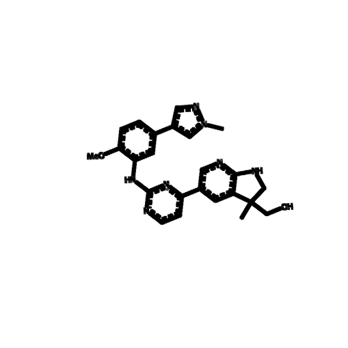 COc1ccc(-c2cnn(C)c2)cc1Nc1nccc(-c2cnc3c(c2)C(C)(CO)CN3)n1